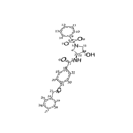 O=C(N[C@H]1CN(S(=O)(=O)c2ccccc2)C[C@@H]1O)c1ccc(OCc2ccccc2)cc1